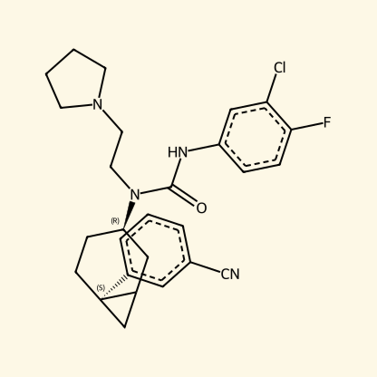 N#Cc1cccc([C@]23CC[C@@H](N(CCN4CCCC4)C(=O)Nc4ccc(F)c(Cl)c4)CC2C3)c1